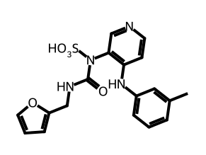 Cc1cccc(Nc2ccncc2N(C(=O)NCc2ccco2)S(=O)(=O)O)c1